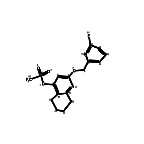 O=S(=O)(Oc1cc(OCc2cccc(F)n2)nc2c1CCCC2)C(F)(F)F